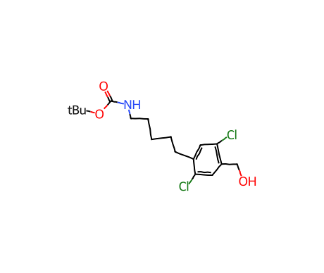 CC(C)(C)OC(=O)NCCCCCc1cc(Cl)c(CO)cc1Cl